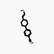 C#Cc1ccc(C2CCC(C=CCCC)CC2)cc1